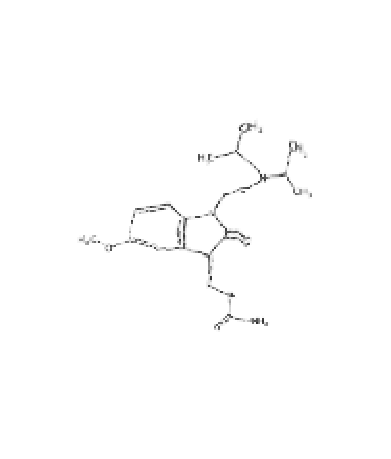 COc1ccc2c(c1)C(=NNC(N)=O)C(=O)N2CCN(C(C)C)C(C)C